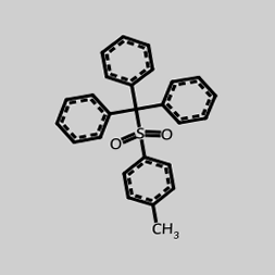 Cc1ccc(S(=O)(=O)C(c2ccccc2)(c2ccccc2)c2ccccc2)cc1